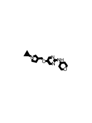 c1nc(NC2CCOCC2)ncc1OCC1CCN(C2CC2)C1